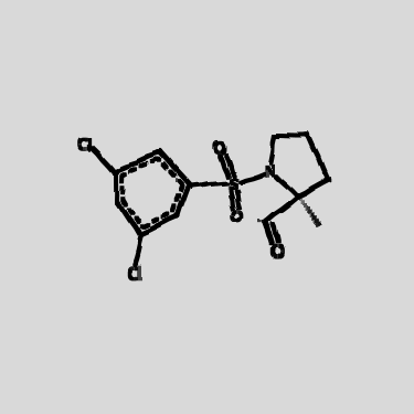 C[C@@]1([C]=O)CCCN1S(=O)(=O)c1cc(Cl)cc(Cl)c1